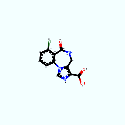 O=C(O)c1ncn2c1CNC(=O)c1c(Cl)cccc1-2